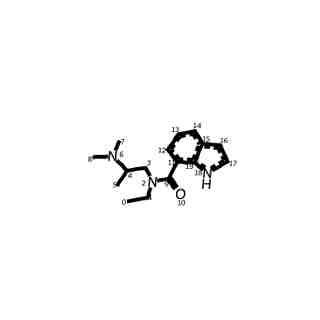 CCN(CC(C)N(C)C)C(=O)c1cccc2cc[nH]c12